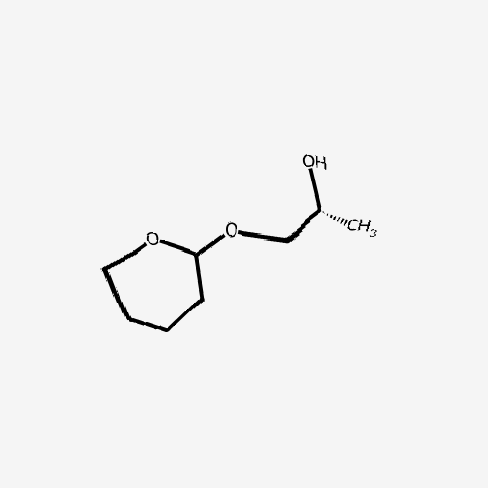 C[C@@H](O)COC1CCCCO1